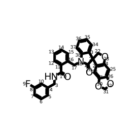 O=C(NCc1cccc(F)c1)c1ccccc1CN1C(=O)C2(COc3cc4c(cc32)OCO4)c2ccccc21